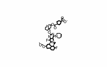 C#Cc1c(F)ccc2cc(OCOC)cc(-c3ncc4c(N5CCC=CCC5)nc(OC[C@@]56CCCN5C[C@@H](OC(=O)c5ccc([N+](=O)[O-])cc5)C6)nc4c3F)c12